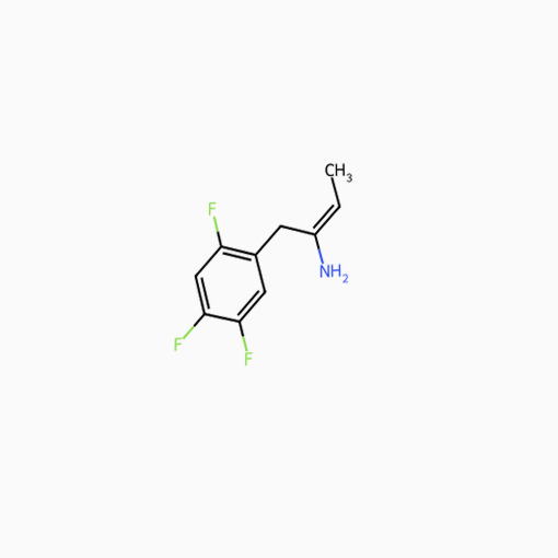 C/C=C(/N)Cc1cc(F)c(F)cc1F